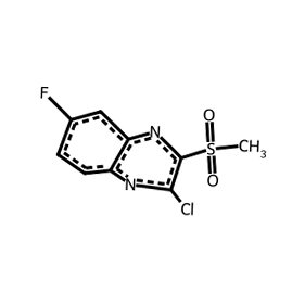 CS(=O)(=O)c1nc2cc(F)ccc2nc1Cl